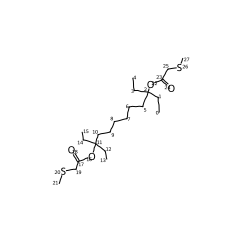 CCC(CC)(CCCCCCC(CC)(CC)OC(=O)CSC)OC(=O)CSC